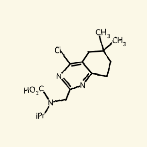 CC(C)N(Cc1nc(Cl)c2c(n1)CCC(C)(C)C2)C(=O)O